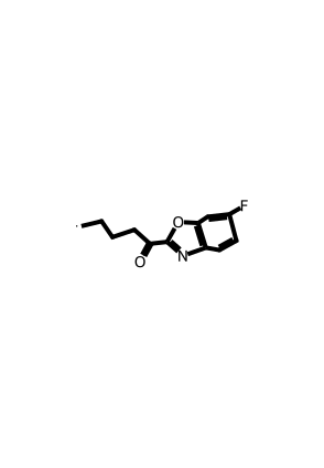 [CH2]CCCC(=O)c1nc2ccc(F)cc2o1